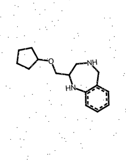 c1ccc2c(c1)CNCC(COC1CCCC1)N2